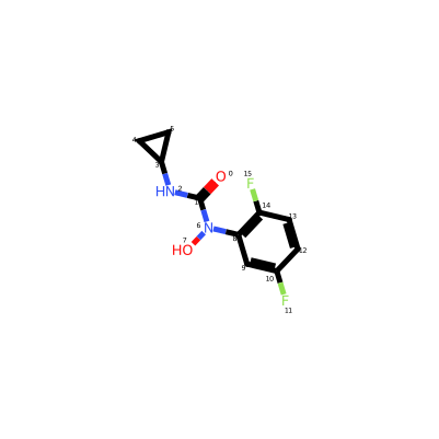 O=C(NC1CC1)N(O)c1cc(F)ccc1F